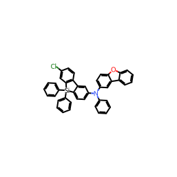 Clc1ccc2c(c1)[Si](c1ccccc1)(c1ccccc1)c1ccc(N(c3ccccc3)c3ccc4oc5ccccc5c4c3)cc1-2